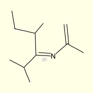 C=C(C)/N=C(/C(C)C)C(C)CC